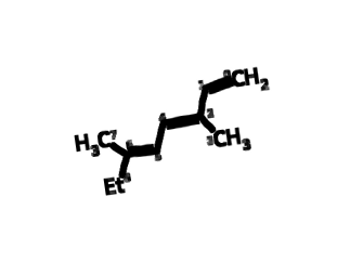 C=C/C(C)=C/C=C(\C)CC